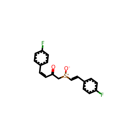 O=C(/C=C\c1ccc(F)cc1)C[S+]([O-])C=Cc1ccc(F)cc1